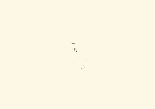 CCc1cc2c(s1)CCO[C@@]21CCN(Cc2cn(CC(=O)N3CCCC3)nn2)[C@@H](C)C1